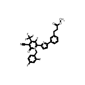 COC(=O)CCc1cccc(-c2ccc(-c3c(F)c(C(F)(F)F)c(C#N)c(=O)n3Cc3ccc(F)cc3F)s2)c1